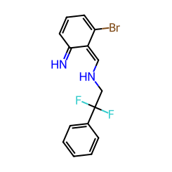 N=C1C=CC=C(Br)/C1=C/NCC(F)(F)c1ccccc1